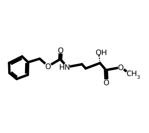 COC(=O)[C@@H](O)CCNC(=O)OCc1ccccc1